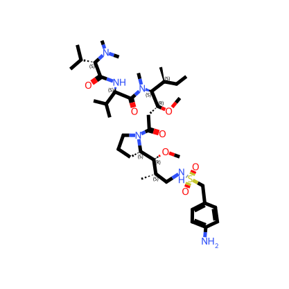 CC[C@H](C)[C@@H]([C@@H](CC(=O)N1CCC[C@H]1[C@H](OC)[C@@H](C)CNS(=O)(=O)Cc1ccc(N)cc1)OC)N(C)C(=O)[C@@H](NC(=O)[C@H](C(C)C)N(C)C)C(C)C